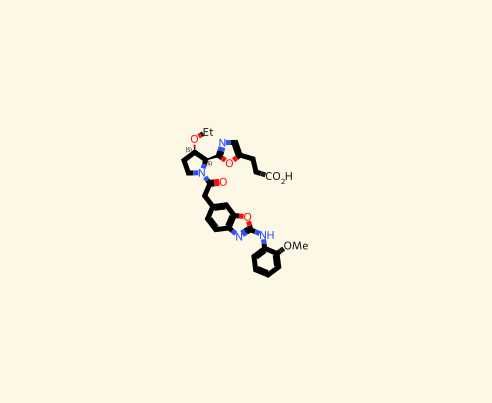 CCO[C@H]1CCN(C(=O)Cc2ccc3nc(Nc4ccccc4OC)oc3c2)[C@@H]1c1ncc(CCC(=O)O)o1